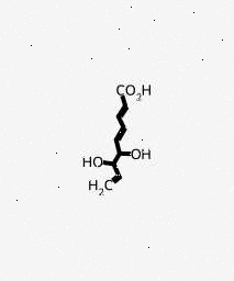 C=CC(O)C(O)C=CC=CC(=O)O